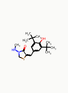 CNN1CSC(=Cc2cc(C(C)(C)C)c(O)c(C(C)(C)C)c2)C1=O